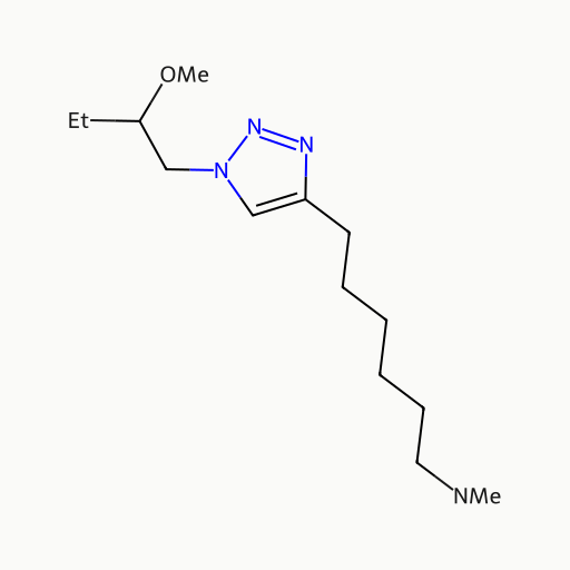 CCC(Cn1cc(CCCCCCNC)nn1)OC